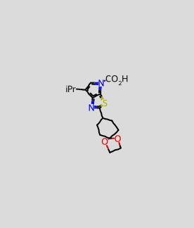 CC(C)c1cn(C(=O)O)c2sc(C3CCC4(CC3)OCCO4)nc12